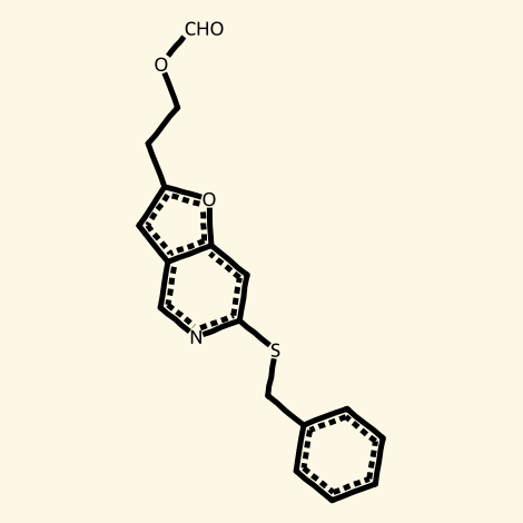 O=COCCc1cc2cnc(SCc3ccccc3)cc2o1